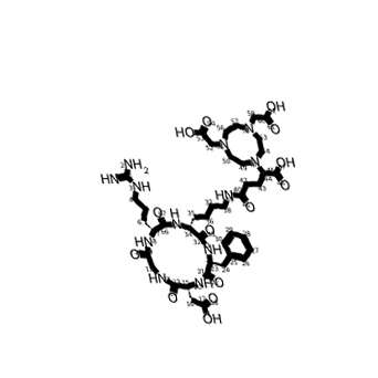 N=C(N)NCCC[C@H]1NC(=O)CNC(=O)[C@@H](CC(=O)O)NC(=O)[C@H](Cc2ccccc2)NC(=O)[C@@H](CCCCNC(=O)CCC(C(=O)O)N2CCN(CC(=O)O)CCN(CC(=O)O)CC2)NC1=O